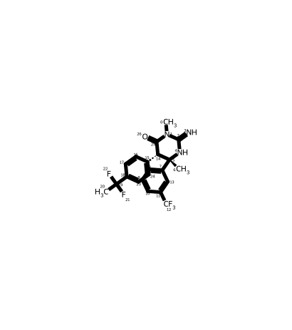 CN1C(=N)N[C@](C)(c2cccc(C(F)(F)F)c2)[C@H](c2ccc(C(C)(F)F)cc2)C1=O